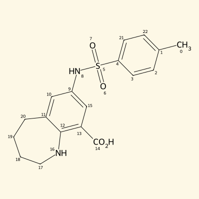 Cc1ccc(S(=O)(=O)Nc2cc3c(c(C(=O)O)c2)NCCCC3)cc1